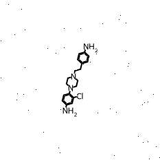 Nc1ccc(CCN2CCN(c3ccc(N)cc3Cl)CC2)cc1